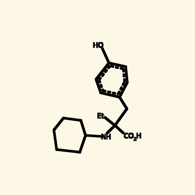 CCC(Cc1ccc(O)cc1)(NC1CCCCC1)C(=O)O